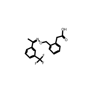 CC(=NOCc1ccccc1CC(=O)O)c1cccc(C(F)(F)F)c1